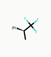 CC(C)[C@H](C)C(F)(F)F